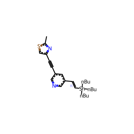 CCC[CH2][Sn](/[CH]=C/c1cncc(C#Cc2csc(C)n2)c1)([CH2]CCC)[CH2]CCC